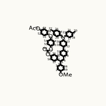 COc1ccc(C(=Cc2ccc(-c3ccc(N(c4ccc(C)cc4)c4ccc(C)cc4)cc3)cc2)c2ccc(OC(=O)Oc3ccc(Oc4ccc(OC(C)=O)cc4)cc3)cc2)cc1